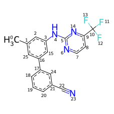 Cc1cc(Nc2nccc(C(F)(F)F)n2)cc(-c2cccc(C#N)c2)c1